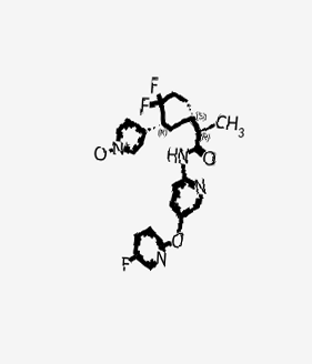 C[C@@H](C(=O)Nc1ccc(Oc2ccc(F)cn2)cn1)[C@H]1CCC(F)(F)[C@@H](c2cc[n+]([O-])cc2)C1